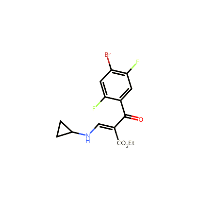 CCOC(=O)C(=CNC1CC1)C(=O)c1cc(F)c(Br)cc1F